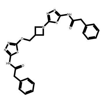 O=C(Cc1ccccc1)Nc1nnc(OCC2CN(c3nnc(NC(=O)Cc4ccccc4)s3)C2)s1